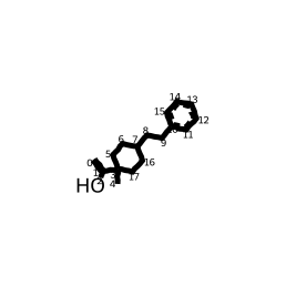 C=C(O)C1(C)CCC(CCc2ccccc2)CC1